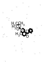 CC(C)(C)OC(=O)N1CC=C2[C@@](C)(CCC(=O)[C@@]2(C)Cc2ccccc2)C1